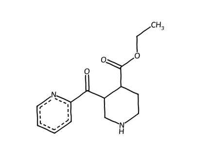 CCOC(=O)C1CCNCC1C(=O)c1ccccn1